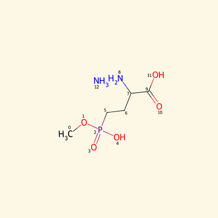 COP(=O)(O)CCC(N)C(=O)O.N